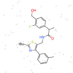 Cc1cccc(-c2nc(C(C)(C)C)sc2CNC(=O)C(C)c2ccc(CO)c(F)c2)c1